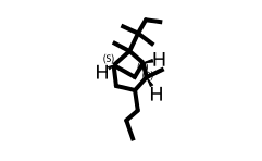 CCCC1C[C@H]2C[C@@H]([C@@H]1C)C2(C)C(C)(C)CC